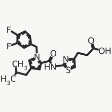 CC(C)Cc1cc(C(=O)Nc2nc(CCC(=O)O)cs2)n(Cc2ccc(F)c(F)c2)c1